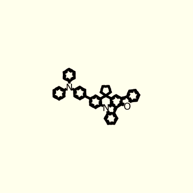 c1ccc(N(c2ccccc2)c2ccc(-c3ccc4c(c3)C3(CCCC3)c3cc5c6ccccc6oc5c5c6ccccc6n-4c35)cc2)cc1